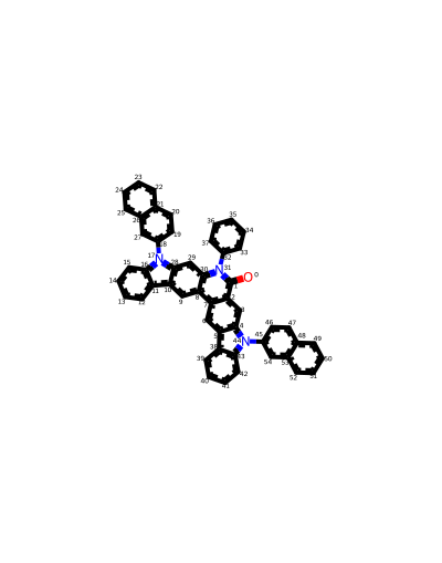 O=c1c2cc3c(cc2c2cc4c5ccccc5n(-c5ccc6ccccc6c5)c4cc2n1-c1ccccc1)c1ccccc1n3-c1ccc2ccccc2c1